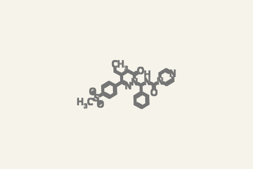 CCC1CC(=O)N(C(NC(=O)N2C=CN=CC2)c2ccccc2)N=C1c1ccc(S(C)(=O)=O)cc1